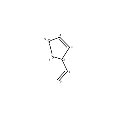 C=CC1C=CSS1